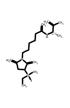 C=C(CCCCCN1C(=C)CC(S(C)(F)CC)C1=C)N[C@@H](C)C(=C)C